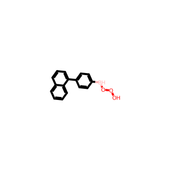 OOOBc1ccc(-c2cccc3ccccc23)cc1